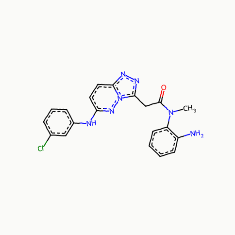 CN(C(=O)Cc1nnc2ccc(Nc3cccc(Cl)c3)nn12)c1ccccc1N